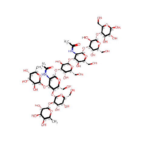 CC(=O)N[C@H]1[C@H](O[C@H]2[C@@H](O)[C@@H](CO)O[C@@H](O[C@H]3[C@H](O)[C@@H](CO)O[C@@H](O[C@H]4[C@@H](O)[C@@H](CO)O[C@@H](O[C@H]5[C@H](O)[C@@H](O)[C@H](O)O[C@@H]5CO)[C@@H]4O)[C@@H]3NC(C)=O)[C@@H]2O)O[C@H](CO)[C@@H](O[C@@H]2O[C@H](CO)[C@H](O)[C@H](O)[C@H]2O[C@@H]2O[C@@H](C)[C@@H](O)[C@@H](O)[C@@H]2O)[C@@H]1O[C@@H]1O[C@@H](C)[C@@H](O)[C@@H](O)[C@@H]1O